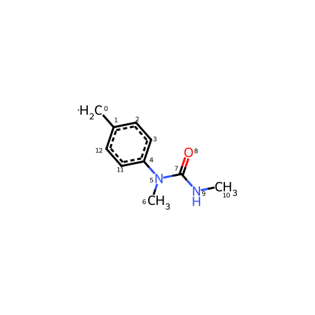 [CH2]c1ccc(N(C)C(=O)NC)cc1